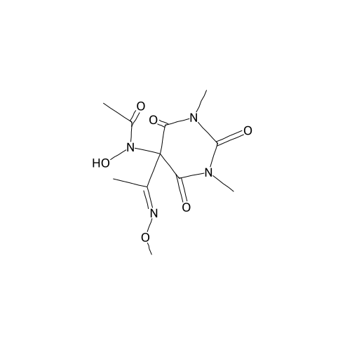 CON=C(C)C1(N(O)C(C)=O)C(=O)N(C)C(=O)N(C)C1=O